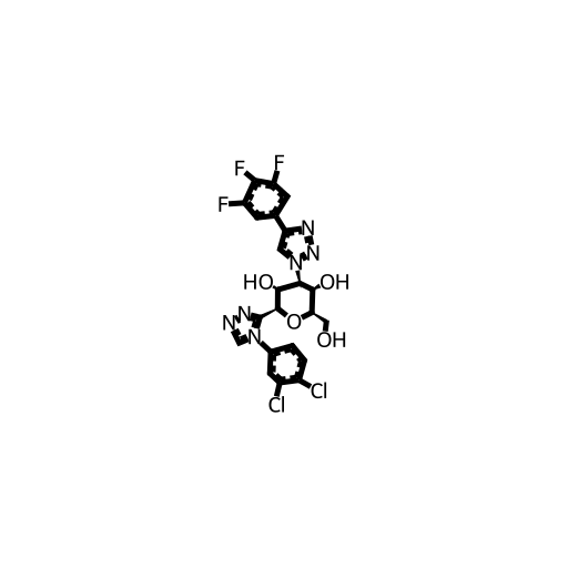 OC[C@H]1O[C@@H](c2nncn2-c2ccc(Cl)c(Cl)c2)[C@H](O)[C@@H](n2cc(-c3cc(F)c(F)c(F)c3)nn2)[C@H]1O